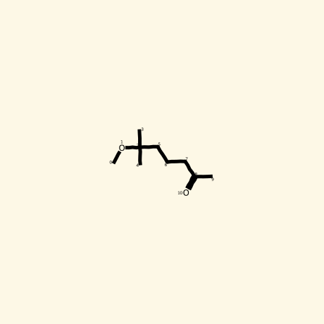 COC(C)(C)CCCC(C)=O